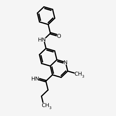 CCCC(=N)c1cc(C)nc2cc(NC(=O)c3ccccc3)ccc12